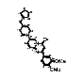 COc1ccc(-c2cc(=O)n3cc(N4CCC(CN5CCCC5)CC4)ccc3n2)cc1OC